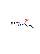 C=CCC(O)NCC(F)(F)F